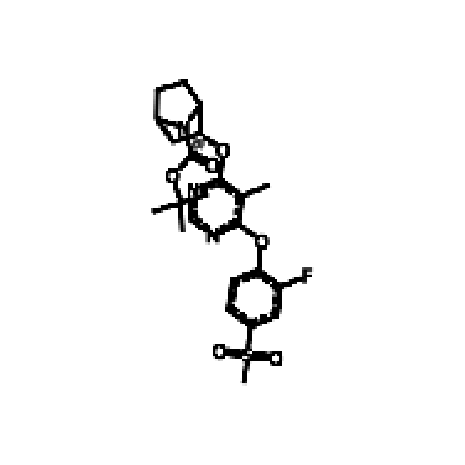 Cc1c(Oc2ccc(S(C)(=O)=O)cc2F)ncnc1O[C@H]1CC2CCC1N2C(=O)OC(C)(C)C